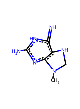 CN1CNc2c1nc(N)[nH]c2=N